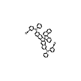 N#Cc1cccc(N(c2ccccc2)c2ccc3cc4c(cc3c2)C2(c3cc5cc(N(c6ccccc6)c6cccc(C#N)c6)ccc5cc3-4)c3ccccc3-c3c2ccc2ccccc32)c1